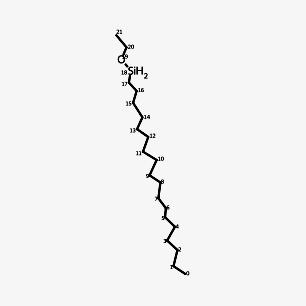 CCCCCCCCCCCCCCCCCC[SiH2]OCC